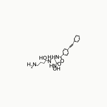 NCCC[C@H](O)NC[C@H](NC(=O)c1ccc(C#Cc2ccccc2)cc1)C(=O)NO